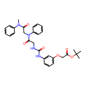 CN(C(=O)CN(C(=O)CNC(=O)Nc1cccc(OCC(=O)OC(C)(C)C)c1)c1ccccc1)c1ccccc1